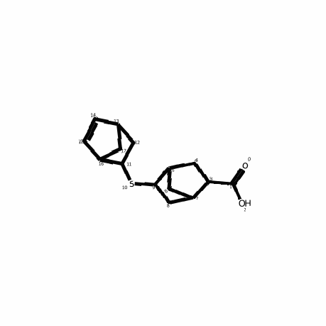 O=C(O)C1CC2CC1CC2SC1CC2C=CC1C2